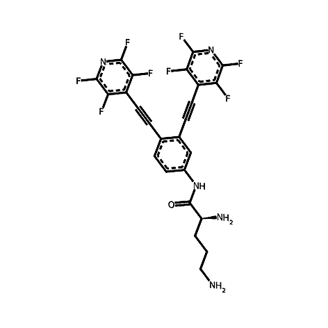 NCCC[C@H](N)C(=O)Nc1ccc(C#Cc2c(F)c(F)nc(F)c2F)c(C#Cc2c(F)c(F)nc(F)c2F)c1